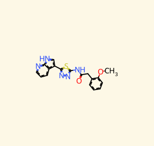 COc1ccccc1CC(=O)Nc1nnc(-c2c[nH]c3ncccc23)s1